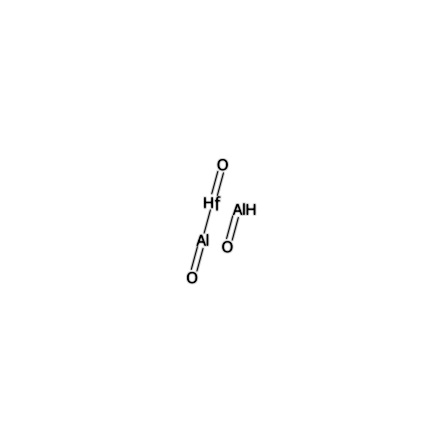 [O]=[AlH].[O]=[Al][Hf]=[O]